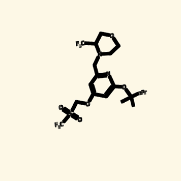 CCCC(C)(C)Oc1cc(OCS(=O)(=O)C(F)(F)F)cc(CN2CCOCC2C(F)(F)F)n1